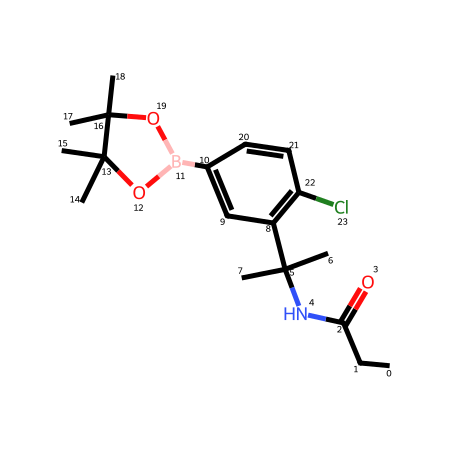 CCC(=O)NC(C)(C)c1cc(B2OC(C)(C)C(C)(C)O2)ccc1Cl